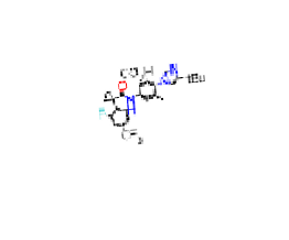 Cc1cc(NC(=O)C2(c3ccc(C(F)(F)F)cc3F)CC2)cc(C(=O)O)c1-n1cnc(C(C)(C)C)c1